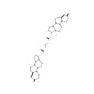 C[C@@H]1CC2=CC(=O)CC[C@]2(C)C2CC[C@@]3(C)C(CC[C@@H]3OC(=O)OCOC(=O)O[C@H]3CCC4C5C(CC[C@@]43C)[C@@]3(C)CCC(=O)C=C3C[C@H]5C)C21